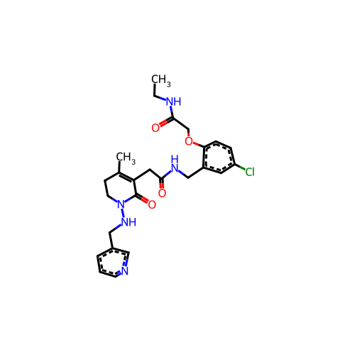 CCNC(=O)COc1ccc(Cl)cc1CNC(=O)CC1=C(C)CCN(NCc2cccnc2)C1=O